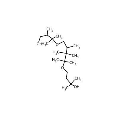 CC(CO)C(C)(C)OCC(C)C(C)(C)C(C)(C)OCCC(C)(C)O